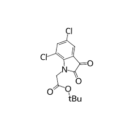 CC(C)(C)OC(=O)CN1C(=O)C(=O)c2cc(Cl)cc(Cl)c21